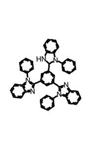 c1ccc(N2c3ccccc3NC2c2cc(-c3nc4ccccc4n3-c3ccccc3)cc(-c3nc4ccccc4n3-c3ccccc3)c2)cc1